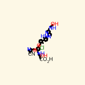 Cc1c(COc2cc(OCc3cncc(C#N)c3)c(CNC[C@@H](O)CC(=O)O)cc2Cl)cccc1-c1cccc(Nc2nccc3cc(CNCCO)cnc23)c1C